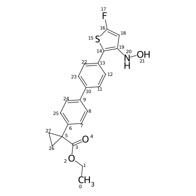 CCOC(=O)C1(c2ccc(-c3ccc(-c4sc(F)cc4NO)cc3)cc2)CC1